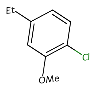 [CH2]Cc1ccc(Cl)c(OC)c1